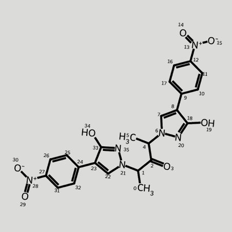 CC(C(=O)C(C)n1cc(-c2ccc([N+](=O)[O-])cc2)c(O)n1)n1cc(-c2ccc([N+](=O)[O-])cc2)c(O)n1